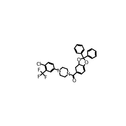 O=C(C1=CC=C2OC(c3ccccc3)(c3ccccc3)OC2C1)N1CCN(c2ccc(Cl)c(C(F)(F)F)c2)CC1